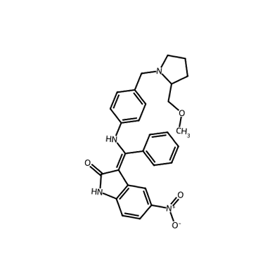 COCC1CCCN1Cc1ccc(N/C(=C2\C(=O)Nc3ccc([N+](=O)[O-])cc32)c2ccccc2)cc1